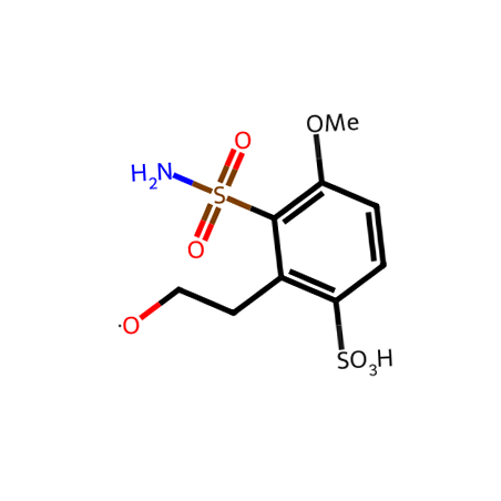 COc1ccc(S(=O)(=O)O)c(CC[O])c1S(N)(=O)=O